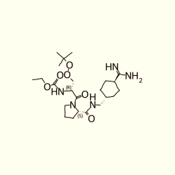 CCOC(=O)N[C@H](COOC(C)(C)C)C(=O)N1CCC[C@H]1C(=O)NC[C@H]1CC[C@H](C(=N)N)CC1